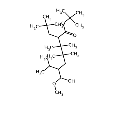 COC(O)C(CC(C)(C)C(C)(C)C(CC(C)(C)C)C(=O)OC(C)(C)C)C(C)C